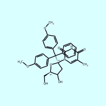 COc1ccc(C(c2ccccc2)(c2ccc(OC)cc2)[C@]2(n3cc(C)c(=O)[nH]c3=O)C[C](O)[C@@H](CO)O2)cc1